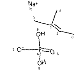 CC=C(C)C.O=P([O-])(O)O.[Na+]